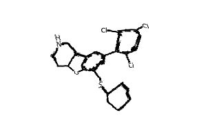 Clc1cc(Cl)c(-c2cc(SC3CCCCC3)c3c(c2)C2CNCCC2O3)c(Cl)c1